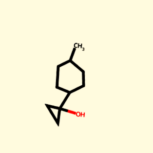 CC1CCC(C2(O)CC2)CC1